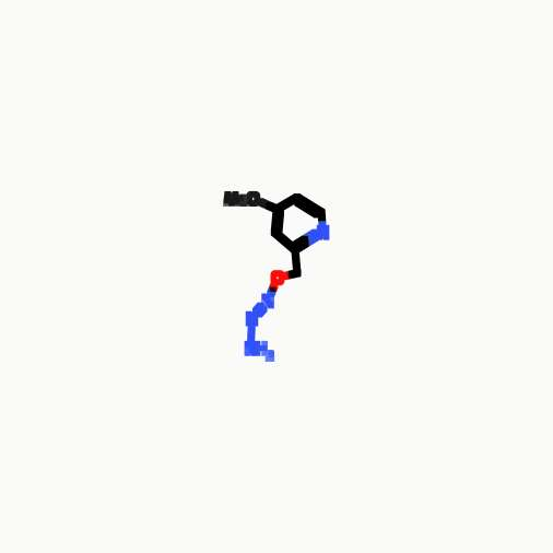 COc1ccnc(CON=NN)c1